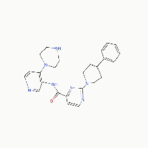 O=C(Nc1cnccc1N1CCNCC1)c1ccnc(N2CCC(c3ccccc3)CC2)n1